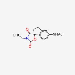 CC(=O)Nc1ccc2c(c1)CC[C@@]21OC(=O)N(CC=O)C1=O